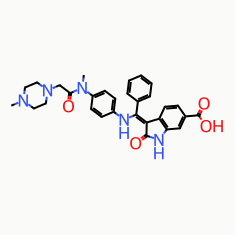 CN1CCN(CC(=O)N(C)c2ccc(N/C(=C3\C(=O)Nc4cc(C(=O)O)ccc43)c3ccccc3)cc2)CC1